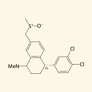 CNC1CC[C@@H](c2ccc(Cl)c(Cl)c2)c2ccc(C[S+](C)[O-])cc21